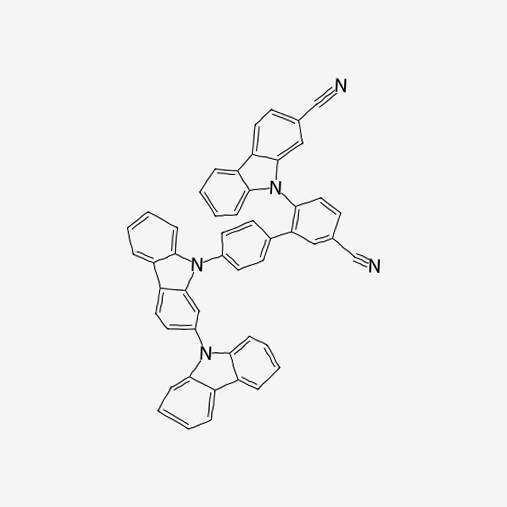 N#Cc1ccc(-n2c3ccccc3c3ccc(C#N)cc32)c(-c2ccc(-n3c4ccccc4c4ccc(-n5c6ccccc6c6ccccc65)cc43)cc2)c1